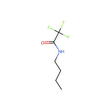 CCCCNC(=O)C(F)(F)F